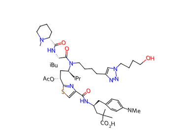 CC[C@H](C)[C@H](NC(=O)[C@H]1CCCCN1C)C(=O)N(CCCCc1cn(CCCCO)nn1)[C@H](C[C@@H](OC(C)=O)c1nc(C(=O)N[C@@H](Cc2ccc(NC)cc2)CC(C)(C)C(=O)O)cs1)C(C)C